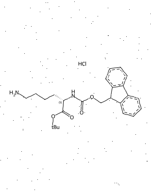 CC(C)(C)OC(=O)[C@H](CCCCN)NC(=O)OCC1c2ccccc2-c2ccccc21.Cl